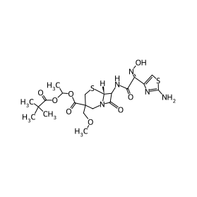 COCC1(C(=O)OC(C)OC(=O)C(C)(C)C)CS[C@@H]2C(NC(=O)C(=NO)c3csc(N)n3)C(=O)N2C1